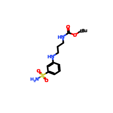 CC(C)(C)OC(=O)NCCCNc1cccc(S(N)(=O)=O)c1